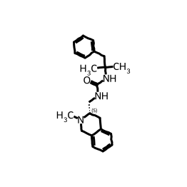 CN1Cc2ccccc2C[C@H]1CNC(=O)NC(C)(C)Cc1ccccc1